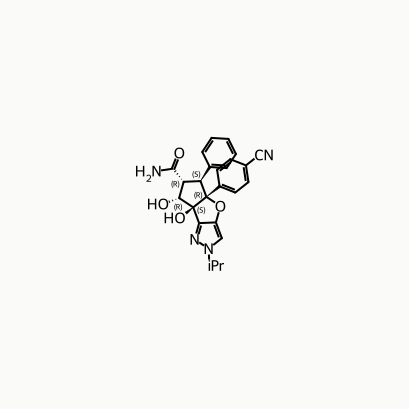 CC(C)n1cc2c(n1)[C@]1(O)[C@H](O)[C@H](C(N)=O)[C@@H](c3ccccc3)[C@]1(c1ccc(C#N)cc1)O2